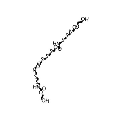 O=C(NCSCSC/N=C\OOCSCSCSCOC(=O)NCSCSC/N=C/OOCCO)OCCO